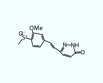 COc1cc(C=Cc2ccc(=O)[nH]n2)ccc1[S+](C)[O-]